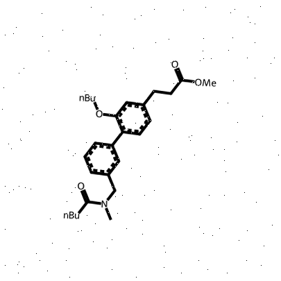 CCCCOc1cc(CCC(=O)OC)ccc1-c1cccc(CN(C)C(=O)CCCC)c1